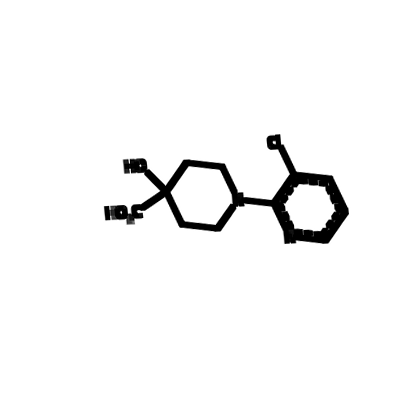 O=C(O)C1(O)CCN(c2ncccc2Cl)CC1